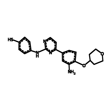 Nc1cc(-c2ccnc(Nc3ccc(S)cc3)n2)ccc1OC1CCOCC1